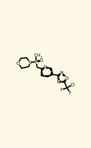 CP(=O)(Cc1ccc(-c2noc(C(F)(F)Cl)n2)cn1)N1CCOCC1